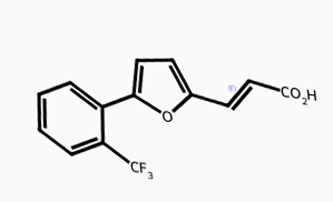 O=C(O)/C=C/c1ccc(-c2ccccc2C(F)(F)F)o1